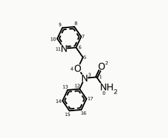 NC(=O)N(OCc1ccccn1)c1ccccc1